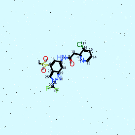 CS(=O)(=O)c1cc(NC(=O)Cc2ncccc2Cl)cc2nn(C(F)F)cc12